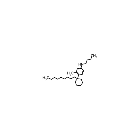 CCCCCCCCCC1(c2ccc(NCCCC)cc2C)CCCCC1